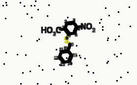 O=C(O)c1ccc([N+](=O)[O-])cc1SCc1ccccc1